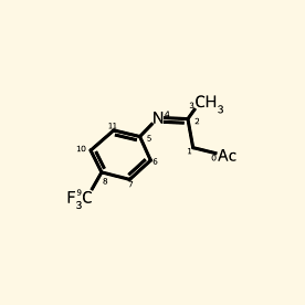 CC(=O)CC(C)=Nc1ccc(C(F)(F)F)cc1